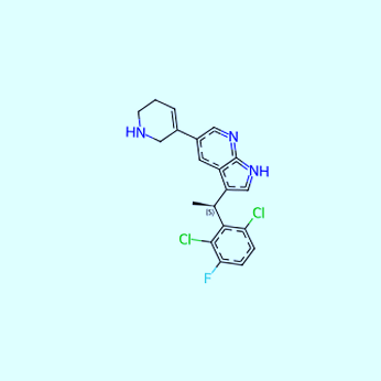 C[C@H](c1c(Cl)ccc(F)c1Cl)c1c[nH]c2ncc(C3=CCCNC3)cc12